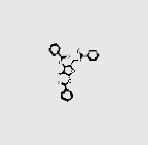 O=C(OC[C@H]1O[C@H](OC(=O)c2ccccc2)C(F)C1OC(=O)c1ccccc1)c1ccccc1